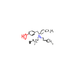 C=CCN(CC=C)[C@@H](Cc1ccc(O)cc1)C(=O)O